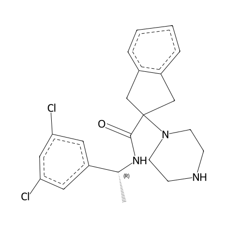 C[C@@H](NC(=O)C1(N2CCNCC2)Cc2ccccc2C1)c1cc(Cl)cc(Cl)c1